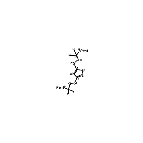 CCCCCC(C)(C)SSc1nsc(SSC(C)(C)CCCCC)n1